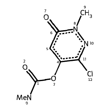 CNC(=O)Oc1cc(=O)n(C)nc1Cl